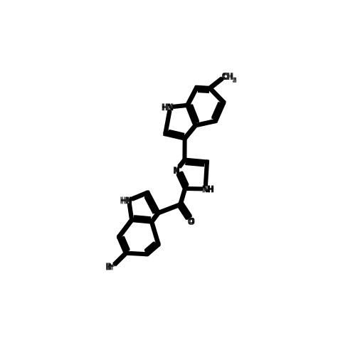 Cc1ccc2c(-c3c[nH]c(C(=O)c4c[nH]c5cc(Br)ccc45)n3)c[nH]c2c1